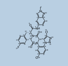 Cn1cc2cc(NC(=O)[C@@H](Cc3ccc(F)cc3)N3CC(=O)N(c4cc(Cl)ccc4-n4cc(Cl)nn4)CC3=O)ccc2n1